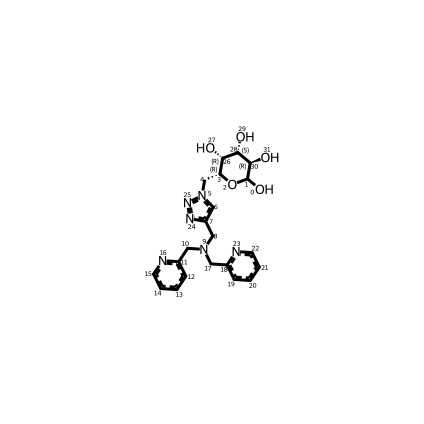 OC1O[C@H](Cn2cc(CN(Cc3ccccn3)Cc3ccccn3)nn2)[C@H](O)[C@H](O)[C@H]1O